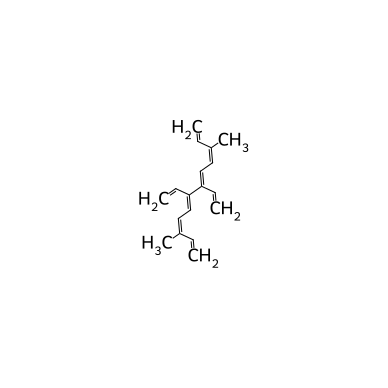 C=C\C(C)=C/C=C(C=C)/C(C=C)=C/C=C(/C)C=C